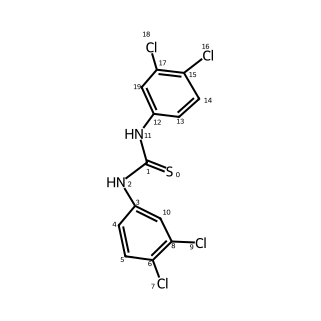 S=C(Nc1ccc(Cl)c(Cl)c1)Nc1ccc(Cl)c(Cl)c1